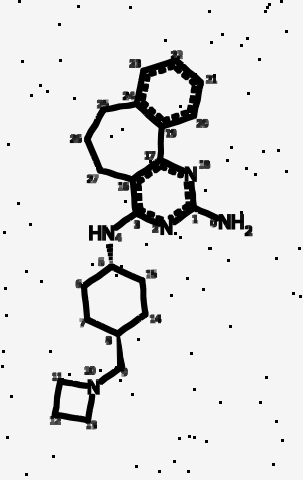 Nc1nc(N[C@H]2CC[C@H](CN3CCC3)CC2)c2c(n1)-c1ccccc1CCC2